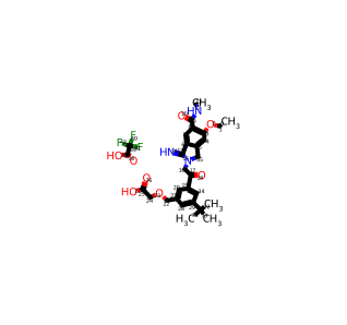 CCOc1cc2c(cc1C(=O)NC)C(=N)N(CC(=O)c1cc(COCC(=O)O)cc(C(C)(C)C)c1)C2.O=C(O)C(F)(F)F